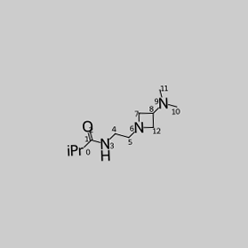 CC(C)C(=O)NCCN1CC(N(C)C)C1